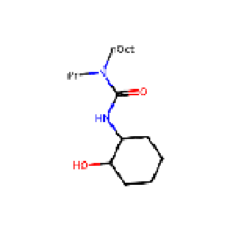 CCCCCCCCN(C(=O)NC1CCCCC1O)C(C)C